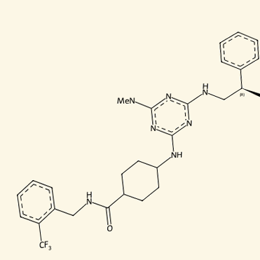 CNc1nc(NC[C@H](C)c2ccccc2)nc(NC2CCC(C(=O)NCc3ccccc3C(F)(F)F)CC2)n1